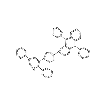 c1ccc(-c2cnc(-c3ccccc3)c(-c3ccc(-c4ccc5c(-c6ccccc6)c6ccccc6c(-c6ccccc6)c5c4)cc3)c2)cc1